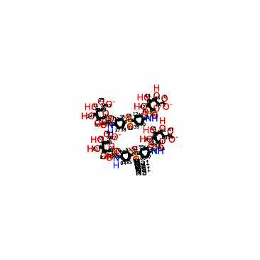 O=C([O-])[C@H]1O[C@H](S(=O)(=O)Nc2ccc(S(=O)(=O)c3ccc(NS(=O)(=O)[C@H]4O[C@H](C(=O)[O-])[C@@H](O)[C@H](O)[C@H]4O)cc3)cc2)[C@H](O)[C@@H](O)[C@@H]1O.O=C([O-])[C@H]1O[C@H](S(=O)(=O)Nc2ccc(S(=O)(=O)c3ccc(NS(=O)(=O)[C@H]4O[C@H](C(=O)[O-])[C@@H](O)[C@H](O)[C@H]4O)cc3)cc2)[C@H](O)[C@@H](O)[C@@H]1O.[Na+].[Na+].[Na+].[Na+]